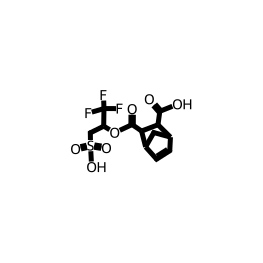 O=C(O)C1C2C=CC(C2)C1C(=O)OC(CS(=O)(=O)O)C(F)(F)F